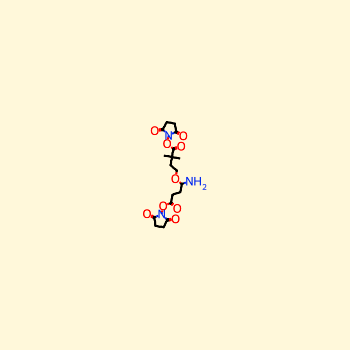 CC(C)(CCOC(N)CCC(=O)ON1C(=O)CCC1=O)C(=O)ON1C(=O)CCC1=O